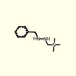 C[Si](C)(C)CNNCc1ccccc1